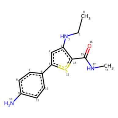 CCNc1cc(-c2ccc(N)cc2)sc1C(=O)NC